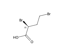 O=C(O)[C@@H](Br)CCBr